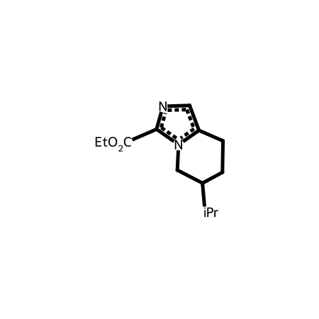 CCOC(=O)c1ncc2n1CC(C(C)C)CC2